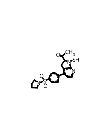 CC(=O)C1Cc2c(-c3ccc(S(=O)(=O)N4CCCC4)cc3)ccnc2N1S